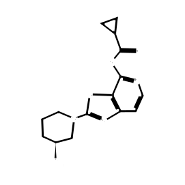 C[C@H]1CCCN(c2nc3ccnc(NC(=O)C4CC4)c3s2)C1